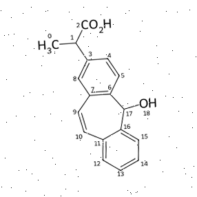 CC(C(=O)O)c1ccc2c(c1)C=Cc1ccccc1C2O